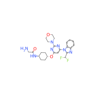 NCC(=O)N[C@H]1CC[C@H](Oc2cc(-n3c(C(F)F)nc4ccccc43)nc(N3CCOCC3)n2)CC1